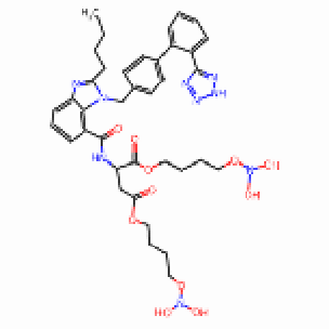 CCCCc1nc2cccc(C(=O)NC(CC(=O)OCCCCON(O)O)C(=O)OCCCCON(O)O)c2n1Cc1ccc(-c2ccccc2-c2nn[nH]n2)cc1